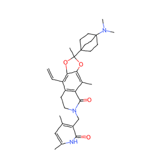 C=Cc1c2c(c(C)c3c1OC(C)(C14CCC(N(C)C)(CC1)CC4)O3)C(=O)N(Cc1c(C)cc(C)[nH]c1=O)CC2